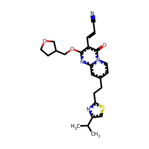 CC(C)c1csc(CCc2ccn3c(=O)c(C=CC#N)c(OCC4CCOC4)nc3c2)n1